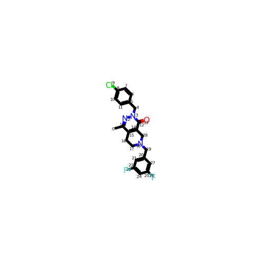 Cc1nn(Cc2ccc(Cl)cc2)c(=O)c2c1CCN(Cc1cc(F)cc(F)c1)C2